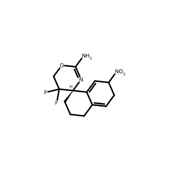 NC1=N[C@@]2(CCCC3=CCC([N+](=O)[O-])C=C32)C(F)(F)CO1